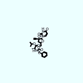 C#C[C@@]1(O)CC(COP(=O)(N[C@@H](C)C(=O)OC(C)C)Oc2ccccc2)O[C@H]1n1ccc(=O)[nH]c1=O